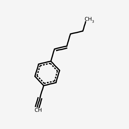 C#Cc1ccc(/C=C/CCC)cc1